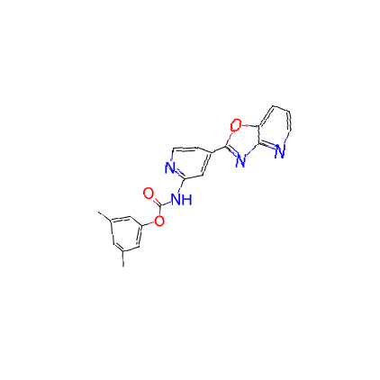 Cc1cc(C)cc(OC(=O)Nc2cc(-c3nc4ncccc4o3)ccn2)c1